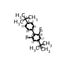 CC(C)(C)c1ccc(-c2c(F)cc(C(C)(C)C)cc2F)cc1